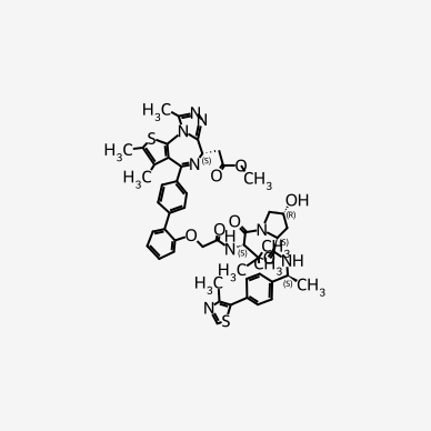 COC(=O)C[C@@H]1N=C(c2ccc(-c3ccccc3OCC(=O)N[C@H](C(=O)N3C[C@H](O)C[C@H]3C(=O)N[C@@H](C)c3ccc(-c4scnc4C)cc3)C(C)(C)C)cc2)c2c(sc(C)c2C)-n2c(C)nnc21